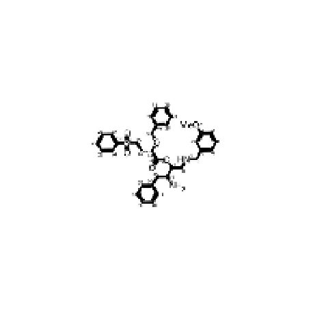 COc1cccc(CNCC(OC(=O)[C@H](CCS(=O)(=O)c2ccccc2)OCc2ccccc2)C(N)Cc2ccccc2)c1